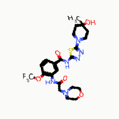 CC1(O)CCN(c2nnc(NC(=O)c3ccc(OC(F)(F)F)c(NC(=O)CN4CCOCC4)c3)s2)CC1